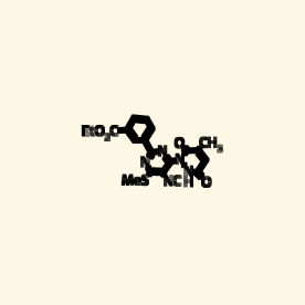 [C-]#[N+]c1c(SC)nc(-c2cccc(C(=O)OCC)c2)nc1-n1[nH]c(=O)cc(C)c1=O